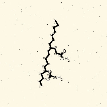 CCCCCCCC(CCCCCC(CCCC)OC(N)=O)CCC(N)=O